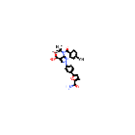 CC1CCC(C(=O)N(c2nn(-c3ccc(-c4ccc(C(N)=O)o4)cc3)cc2C(=O)O)C(C)C)CC1